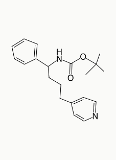 CC(C)(C)OC(=O)NC(CCCc1ccncc1)c1ccccc1